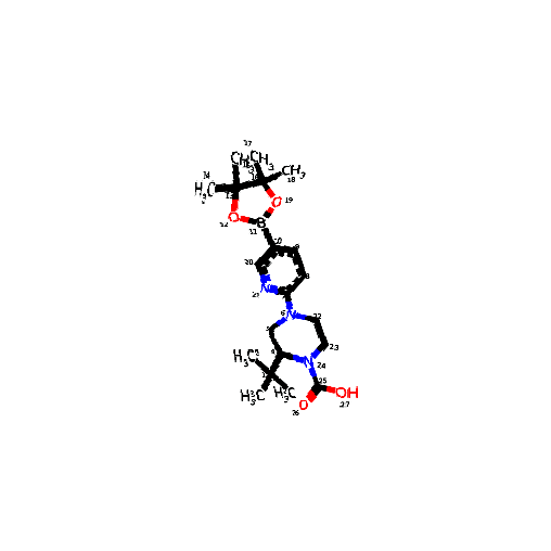 CC(C)(C)C1CN(c2ccc(B3OC(C)(C)C(C)(C)O3)cn2)CCN1C(=O)O